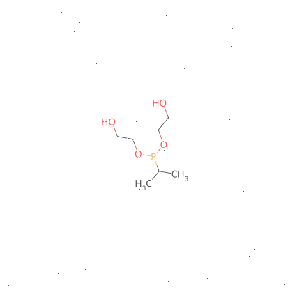 CC(C)P(OCCO)OCCO